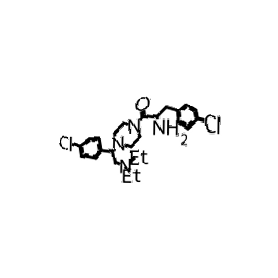 CCN(CC)CC(c1ccc(Cl)cc1)N1CCN(C(=O)C(N)Cc2ccc(Cl)cc2)CC1